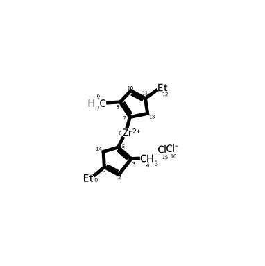 CCC1=CC(C)=[C]([Zr+2][C]2=C(C)C=C(CC)C2)C1.[Cl-].[Cl-]